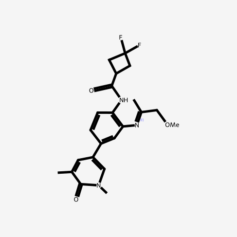 COC/C(C)=N/c1cc(-c2cc(C)c(=O)n(C)c2)ccc1NC(=O)C1CC(F)(F)C1